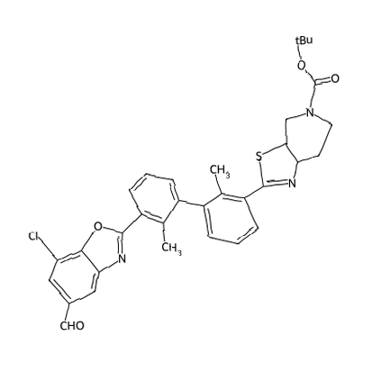 Cc1c(C2=NC3CCN(C(=O)OC(C)(C)C)CC3S2)cccc1-c1cccc(-c2nc3cc(C=O)cc(Cl)c3o2)c1C